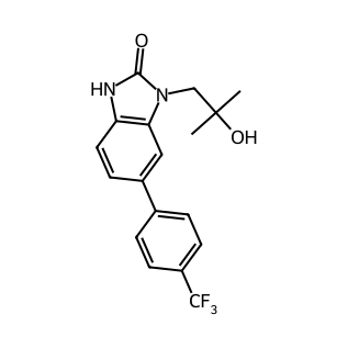 CC(C)(O)Cn1c(=O)[nH]c2ccc(-c3ccc(C(F)(F)F)cc3)cc21